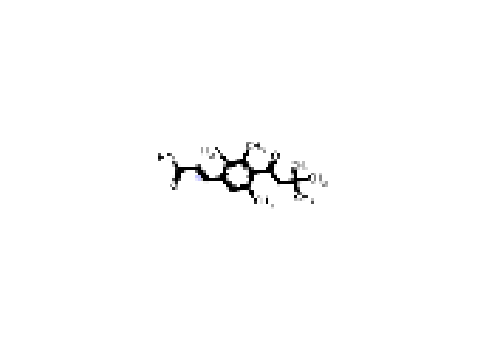 Cc1cc(/C=C/C(=O)O)c(N)c(C)c1C(=O)CC(C)(C)C